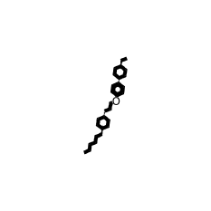 CCCCCC[C@H]1CC[C@H](CCCOc2ccc([C@H]3CC[C@H](CC)CC3)cc2)CC1